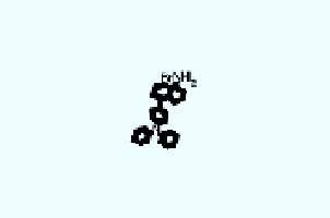 Nc1cccc2c(-c3ccc(N(c4ccccc4)c4ccccc4)cc3)ccc(Br)c12